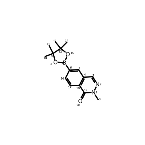 Cn1ncc2cc(B3OC(C)(C)C(C)(C)O3)ccc2c1=O